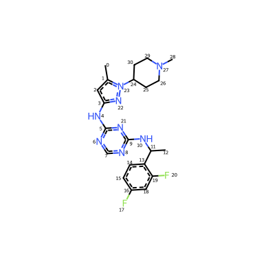 Cc1cc(Nc2ncnc(NC(C)c3ccc(F)cc3F)n2)nn1C1CCN(C)CC1